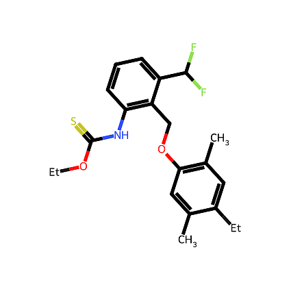 CCOC(=S)Nc1cccc(C(F)F)c1COc1cc(C)c(CC)cc1C